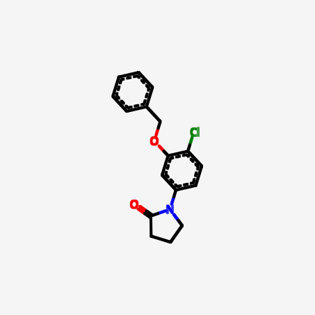 O=C1CCCN1c1ccc(Cl)c(OCc2ccccc2)c1